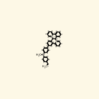 C=Cc1ccc(N(C)c2ccc(-c3ccc4c(c3)-c3cccc[n+]3C3c5ccccc5-c5cccc[n+]5C43)cc2)cc1